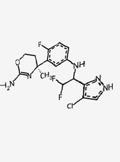 C[C@@]1(c2cc(NC(c3n[nH]cc3Cl)C(F)F)ccc2F)CCOC(N)=N1